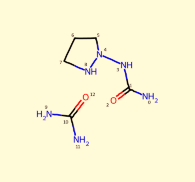 NC(=O)NN1CCCN1.NC(N)=O